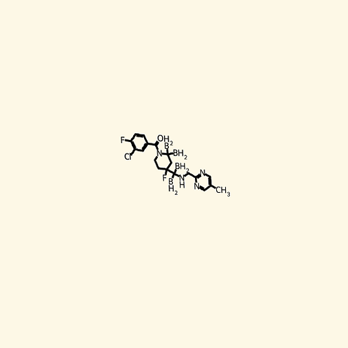 BC1(B)CC(F)(C(B)(B)NCc2ncc(C)cn2)CCN1C(=O)c1ccc(F)c(Cl)c1